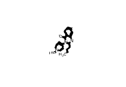 CCCCc1nc2ccccc2c(=O)n1C1=CCN(O)C=C1